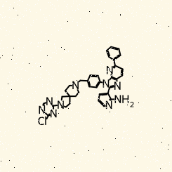 Nc1ncccc1-c1nc2ccc(-c3ccccc3)nc2n1-c1ccc(CN2CCC3(CC2)CCN(c2ncnc(Cl)n2)C3)cc1